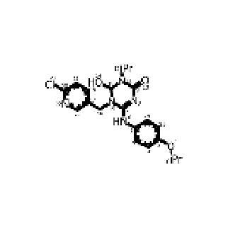 CC(C)Oc1ccc(NC2=NC(=O)N(C(C)C)C(O)N2Cc2ccc(Cl)nc2)cc1